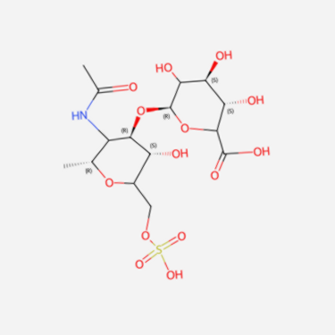 CC(=O)NC1[C@@H](O[C@@H]2OC(C(=O)O)[C@@H](O)[C@H](O)C2O)[C@H](O)C(COS(=O)(=O)O)O[C@@H]1C